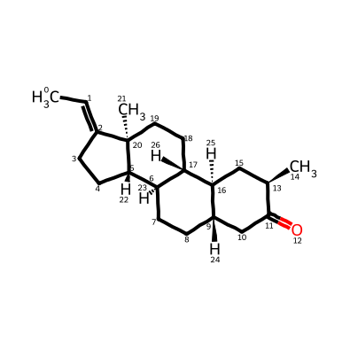 CC=C1CC[C@H]2[C@@H]3CC[C@H]4CC(=O)[C@H](C)C[C@@H]4[C@H]3CC[C@]12C